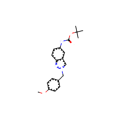 COc1ccc(Cn2cc3cc(NC(=O)OC(C)(C)C)ccc3n2)cc1